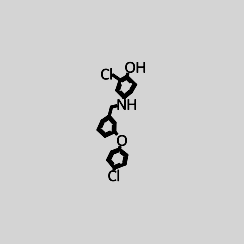 Oc1ccc(NCc2cccc(Oc3ccc(Cl)cc3)c2)cc1Cl